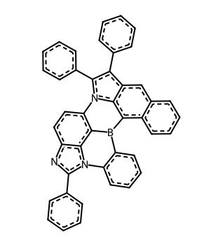 c1ccc(-c2c(-c3ccccc3)n3c4c(c5ccccc5cc24)B2c4ccccc4-n4c(-c5ccccc5)nc5ccc-3c2c54)cc1